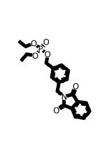 CCOP(=O)(OCC)OCc1cccc(CN2C(=O)c3ccccc3C2=O)c1